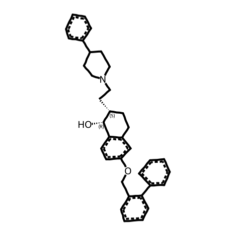 O[C@H]1c2ccc(OCc3ccccc3-c3ccccc3)cc2CC[C@H]1CCN1CCC(c2ccccc2)CC1